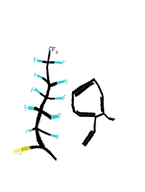 C=Cc1ccccc1C.CC(S)C(F)(F)C(F)(F)C(F)(F)C(F)(F)C(F)(F)C(F)(F)F